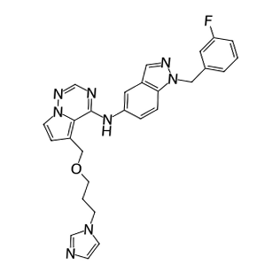 Fc1cccc(Cn2ncc3cc(Nc4ncnn5ccc(COCCCn6ccnc6)c45)ccc32)c1